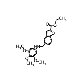 CCOC(=O)c1cc2cc(CNc3cc(OC)c(OC)c(OC)c3)ccc2o1